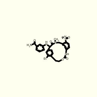 CCc1cc2ccc1CCOC(=O)Nc1ccc([SH](=O)=O)c(c1)CN(C)C(=O)C2Nc1cccc(C(N)=O)c1